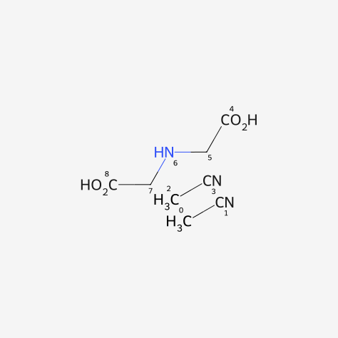 CC#N.CC#N.O=C(O)CNCC(=O)O